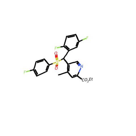 CCOC(=O)c1cc(C)c(C(c2cc(F)ccc2F)S(=O)(=O)c2ccc(F)cc2)cn1